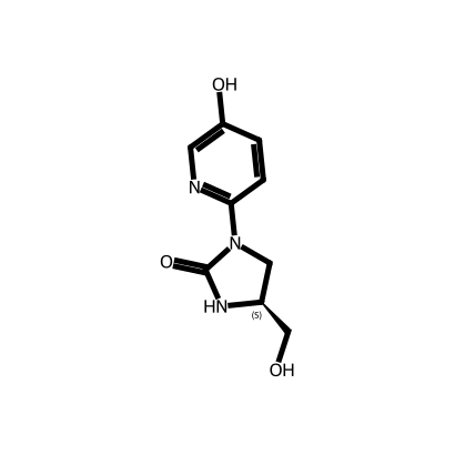 O=C1N[C@H](CO)CN1c1ccc(O)cn1